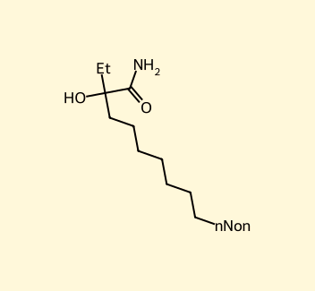 CCCCCCCCCCCCCCCCC(O)(CC)C(N)=O